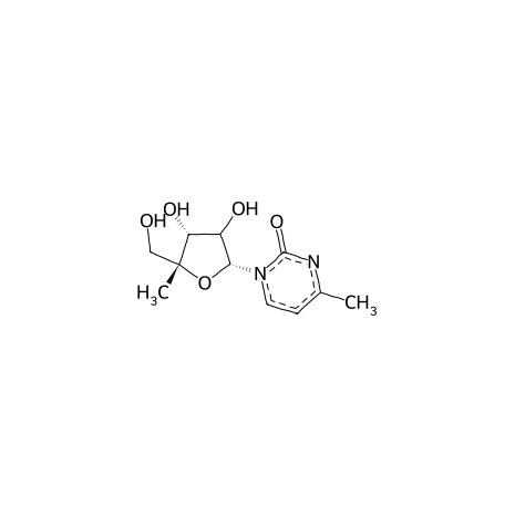 Cc1ccn([C@@H]2O[C@](C)(CO)[C@H](O)C2O)c(=O)n1